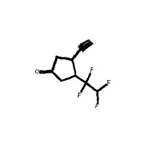 C#CC1CC(=O)CC1C(F)(F)C(F)F